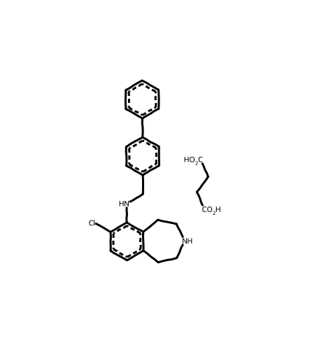 Clc1ccc2c(c1NCc1ccc(-c3ccccc3)cc1)CCNCC2.O=C(O)CCC(=O)O